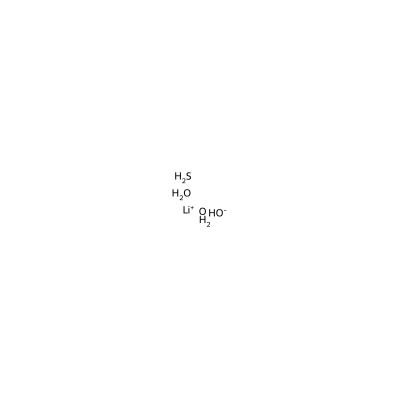 O.O.S.[Li+].[OH-]